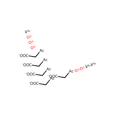 CC(=O)CC(=O)[O-].CC(=O)CC(=O)[O-].CC(=O)CC(=O)[O-].CC(=O)CC(=O)[O-].CC(=O)CC(=O)[O-].[O-2].[O-2].[O-2].[O-2].[O-2].[V+5].[V+5].[V+5]